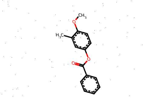 COc1ccc(OC(=O)c2ccccc2)cc1C